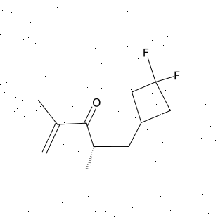 C=C(C)C(=O)[C@@H](C)CC1CC(F)(F)C1